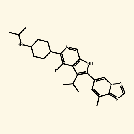 Cc1cc(-c2[nH]c3cnc(C4CCC(NC(C)C)CC4)c(F)c3c2C(C)C)cn2ncnc12